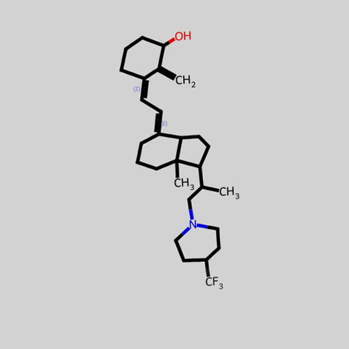 C=C1/C(=C\C=C2/CCCC3(C)C2CCC3C(C)CN2CCC(C(F)(F)F)CC2)CCCC1O